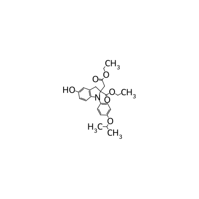 CCOC(=O)CC1(C(=O)OCC)Cc2cc(O)ccc2N1c1ccc(OC(C)C)cc1